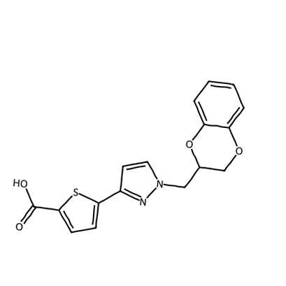 O=C(O)c1ccc(-c2ccn(CC3COc4ccccc4O3)n2)s1